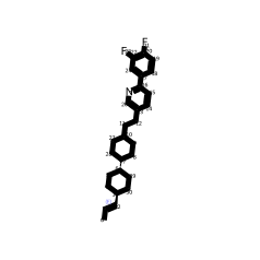 C/C=C/[C@H]1CC[C@H](C2CCC(CCc3ccc(-c4ccc(F)c(F)c4)nc3)CC2)CC1